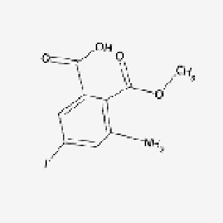 COC(=O)c1c(N)cc(I)cc1C(=O)O